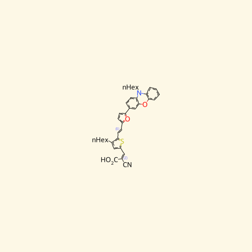 CCCCCCc1cc(/C=C(/C#N)C(=O)O)sc1/C=C/c1ccc(-c2ccc3c(c2)Oc2ccccc2N3CCCCCC)o1